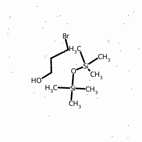 C[Si](C)(C)O[Si](C)(C)C.OCCCBr